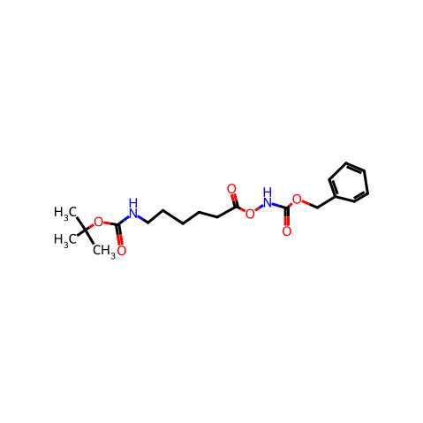 CC(C)(C)OC(=O)NCCCCCC(=O)ONC(=O)OCc1ccccc1